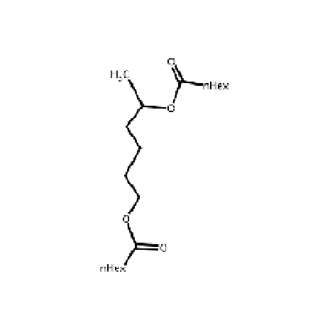 CCCCCCC(=O)OCCCCC(C)OC(=O)CCCCCC